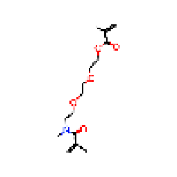 C=C(C)C(=O)OCCOCCOCCN(C)C(=O)C(=C)C